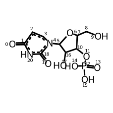 O=c1ccn(C2OC(CO)C(OP(=O)(O)O)C2O)c(=O)[nH]1